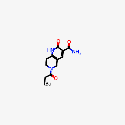 CC(C)(C)CC(=O)N1CCc2[nH]c(=O)c(C(N)=O)cc2C1